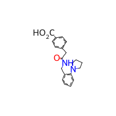 O=C(Cc1ccc(C(=O)O)cc1)NCc1ccccc1N1CCCC1